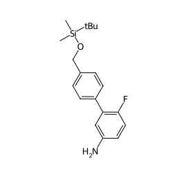 CC(C)(C)[Si](C)(C)OCc1ccc(-c2cc(N)ccc2F)cc1